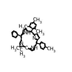 Cc1ccc(-c2c3nc(c(-c4c(C)cc(C)cc4C)c4ccc([nH]4)c(-c4ccccc4)c4nc(cc5ccc2[nH]5)C(C)(C)C4)C=C3)cc1